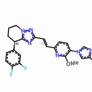 COc1nc(/C=C/c2nc3n(n2)CCC[C@@H]3c2ccc(F)c(F)c2)ccc1-n1cnc(C)c1